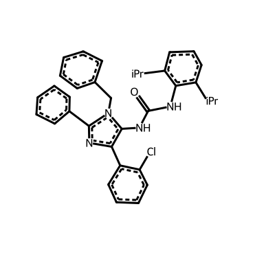 CC(C)c1cccc(C(C)C)c1NC(=O)Nc1c(-c2ccccc2Cl)nc(-c2ccccc2)n1Cc1ccccc1